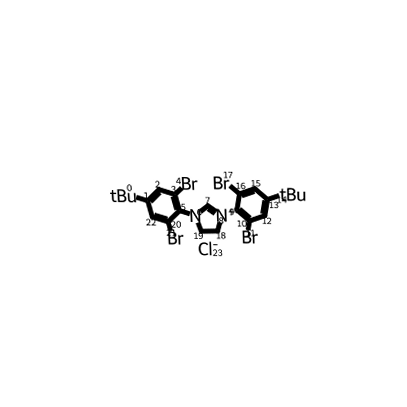 CC(C)(C)c1cc(Br)c(N2C=[N+](c3c(Br)cc(C(C)(C)C)cc3Br)CC2)c(Br)c1.[Cl-]